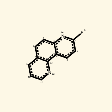 Fc1ccc2c(ccc3cccnc32)n1